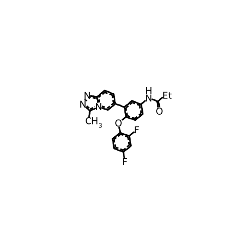 CCC(=O)Nc1ccc(Oc2ccc(F)cc2F)c(-c2ccc3nnc(C)n3c2)c1